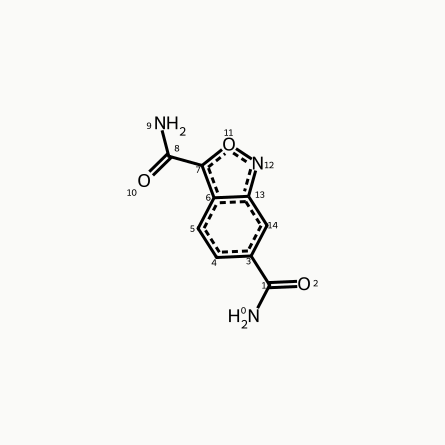 NC(=O)c1ccc2c(C(N)=O)onc2c1